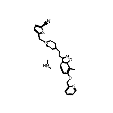 CNC.Cc1c(OCc2ccccn2)ccc2c(CCC3CCN(Cc4ccc(C#N)s4)CC3)noc12